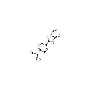 CCC(C#N)c1ccc(-c2nc3ccccc3s2)cc1